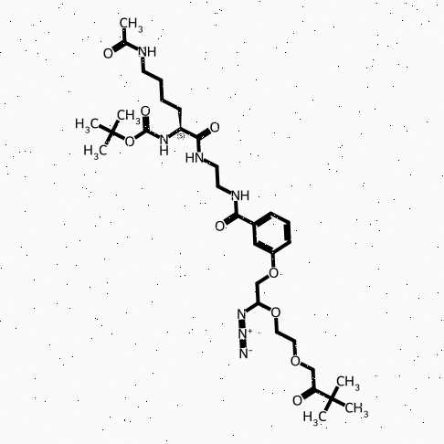 CC(=O)NCCCC[C@H](NC(=O)OC(C)(C)C)C(=O)NCCNC(=O)c1cccc(OCC(N=[N+]=[N-])OCCOCC(=O)C(C)(C)C)c1